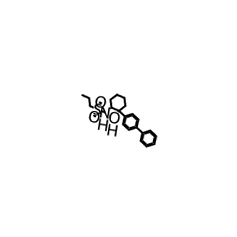 CCCS(=O)(=O)NC1CCCCC1(O)c1ccc(-c2ccccc2)cc1